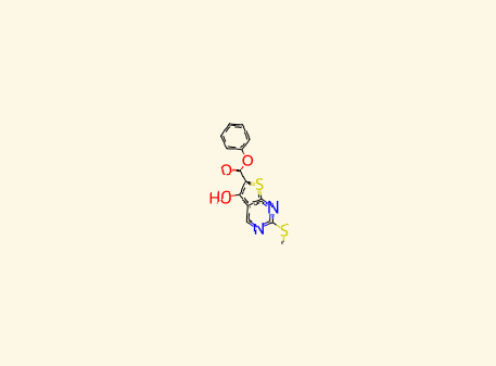 CSc1ncc2c(O)c(C(=O)Oc3ccccc3)sc2n1